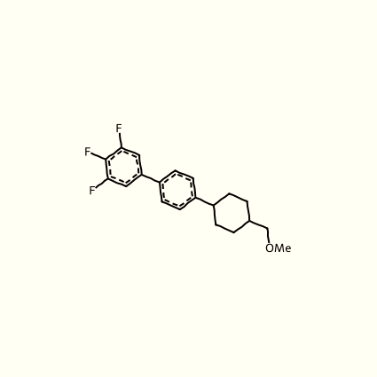 COCC1CCC(c2ccc(-c3cc(F)c(F)c(F)c3)cc2)CC1